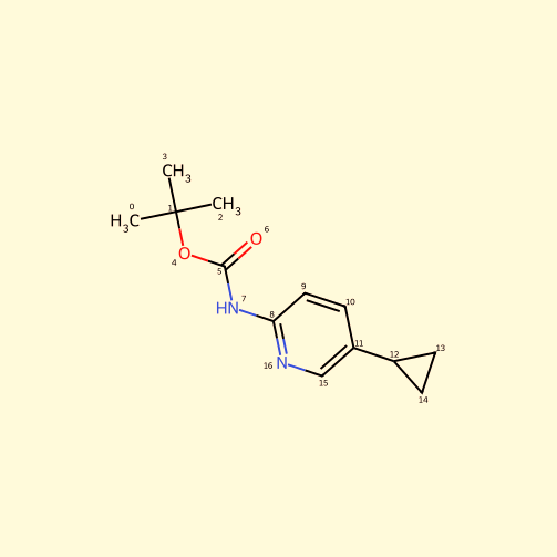 CC(C)(C)OC(=O)Nc1ccc(C2CC2)cn1